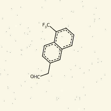 O=CCc1ccc2c(C(F)(F)F)cccc2c1